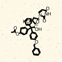 CC(=O)Oc1ccc(C(c2ccccc2)(c2ccc(OCc3ccccc3)cc2)C(O)[C@H]2O[C@@H](n3ccc(=O)[nH]c3=O)C[C@@H]2O)cc1